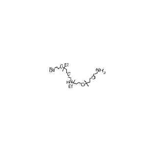 CCC(C)CCOC(C)(CC)CCOCCNC(C)(CC)CCOC(C)(C)CCOCCN